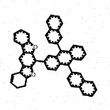 C1=Cc2c(oc3c(-c4ccc5c(-c6ccc7ccccc7c6)c6ccccc6c(-c6ccc7ccccc7c6)c5c4)c4oc5ccccc5c4cc23)CC1